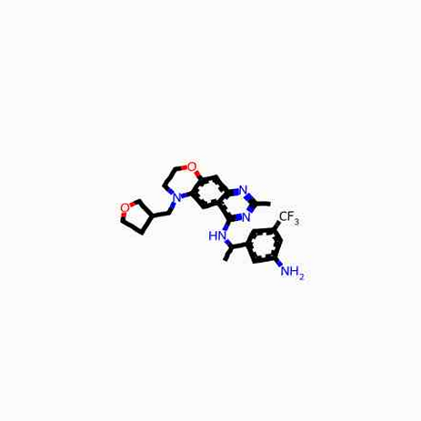 Cc1nc(NC(C)c2cc(N)cc(C(F)(F)F)c2)c2cc3c(cc2n1)OCCN3CC1CCOC1